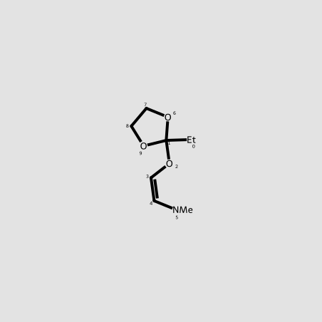 CCC1(O/C=C\NC)OCCO1